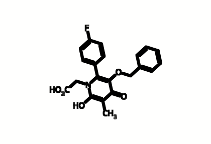 Cc1c(O)n(CC(=O)O)c(-c2ccc(F)cc2)c(OCc2ccccc2)c1=O